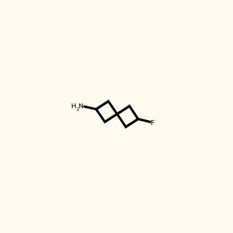 NC1CC2(C1)CC(F)C2